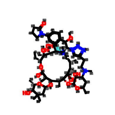 CC[C@H]1OC(=O)[C@H](C)[C@@H](O[C@H]2CC(C)(C)[C@@H](O)[C@H](C)O2)[C@H](C)[C@@H](O[C@@H]2O[C@H](C)C[C@H](N(C)CCc3cn([C@H](CF)[C@H](OC)c4ccc(N5CCCC5=O)cc4)nn3)[C@H]2O)[C@](C)(O)C[C@@H](C)CN(C)[C@H](C)[C@@H](O)[C@]1(C)O